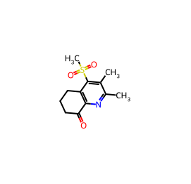 Cc1nc2c(c(S(C)(=O)=O)c1C)CCCC2=O